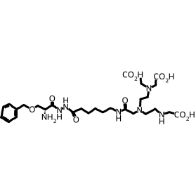 N[C@H](COCc1ccccc1)C(=O)NNC(=O)CCCCCNC(=O)CN(CCNCC(=O)O)CCN(CC(=O)O)CC(=O)O